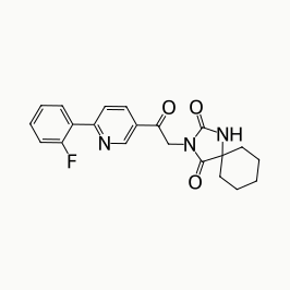 O=C(CN1C(=O)NC2(CCCCC2)C1=O)c1ccc(-c2ccccc2F)nc1